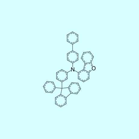 c1ccc(-c2ccc(N(c3cccc(C4(c5ccccc5)c5ccccc5-c5ccccc54)c3)c3cccc4oc5ccccc5c34)cc2)cc1